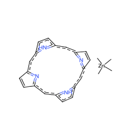 C1=Cc2cc3ccc(cc4nc(cc5ccc(cc1n2)[nH]5)C=C4)[nH]3.[CH3][Zn]([CH3])([CH3])[CH3]